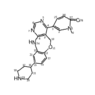 Cn1cc(-c2ncnc3c2COc2ccc(C4CCNCC4)cc2N3)ccc1=O